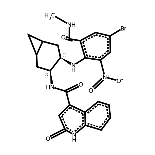 CNC(=O)c1cc(Br)cc([N+](=O)[O-])c1N[C@@H]1CC2CC2C[C@@H]1NC(=O)c1cc(=O)[nH]c2ccccc12